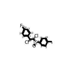 Cc1ccc([S+]([O-])[C@H](Cl)[C@H](Cl)c2ccc(F)cc2)cc1